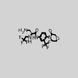 NC[C@H](NCC(F)(F)F)C(=O)Nc1ccc(N2CCOCC2=O)c(C(F)(F)F)c1